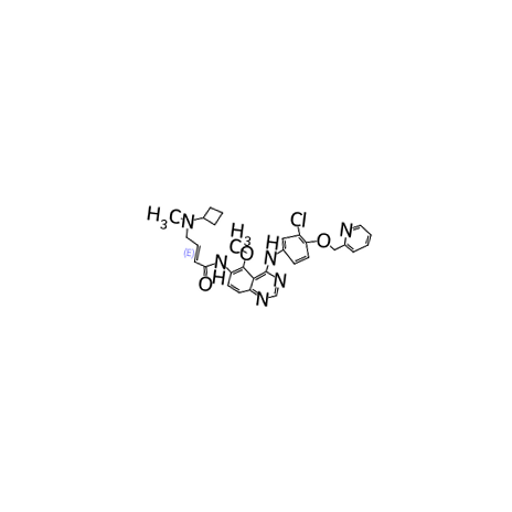 COc1c(NC(=O)/C=C/CN(C)C2CCC2)ccc2ncnc(Nc3ccc(OCc4ccccn4)c(Cl)c3)c12